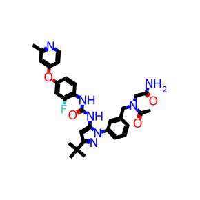 CC(=O)N(CC(N)=O)Cc1cccc(-n2nc(C(C)(C)C)cc2NC(=O)Nc2ccc(Oc3ccnc(C)c3)cc2F)c1